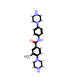 Cc1cc(C(=O)Nc2ccc(N3CCNCC3)cc2)ccc1N1CCNCC1